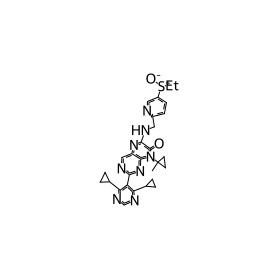 CC[S+]([O-])c1ccc(CNc2nc3cnc(-c4c(C5CC5)ncnc4C4CC4)nc3n(C3(C)CC3)c2=O)nc1